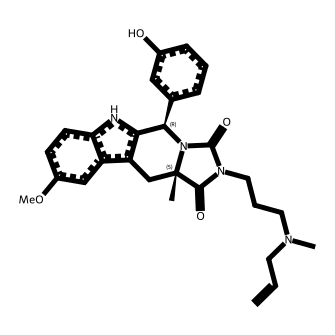 C=CCN(C)CCCN1C(=O)N2[C@H](c3cccc(O)c3)c3[nH]c4ccc(OC)cc4c3C[C@@]2(C)C1=O